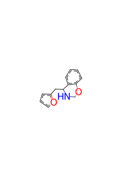 c1coc(CC2NCOc3ccccc32)c1